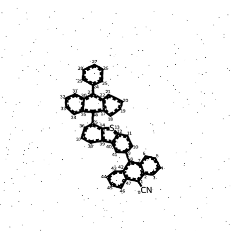 N#Cc1c2ccccc2c(-c2ccc3sc4c(-c5c6ccccc6c(-c6ccccc6)c6ccccc56)cccc4c3c2)c2ccccc12